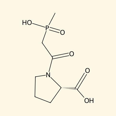 CP(=O)(O)CC(=O)N1CCC[C@H]1C(=O)O